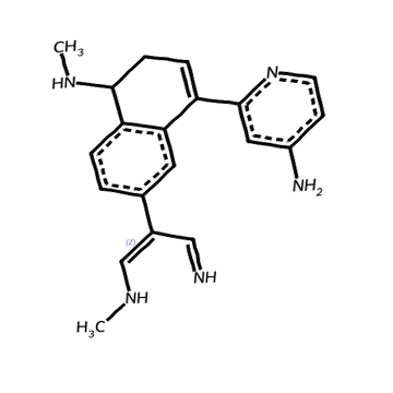 CN/C=C(\C=N)c1ccc2c(c1)C(c1cc(N)ccn1)=CCC2NC